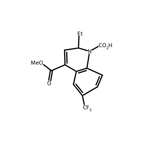 CCC1C=C(C(=O)OC)c2cc(C(F)(F)F)ccc2N1C(=O)O